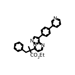 CCOC(=O)C(C)(Cc1ccccc1)c1ccnc2c(-c3ccc(-c4cccnc4)cc3)cnn12